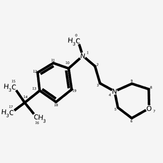 CN(CCN1CCOCC1)c1ccc(C(C)(C)C)cc1